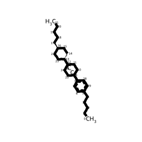 CCCCCc1ccc(C23CCC([C@H]4CC[C@H](CCCCC)CC4)(CC2)CC3)cc1